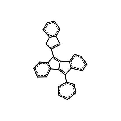 c1ccc(C2=C3C(=C(C4=Nc5ccccc5C4)c4ccccc43)c3ccccc32)cc1